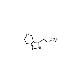 O=C(O)CCc1[nH]nc2c1COCC2